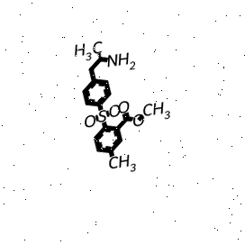 COC(=O)c1cc(C)ccc1S(=O)(=O)c1ccc(C[C@@H](C)N)cc1